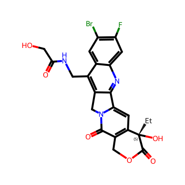 CC[C@@]1(O)C(=O)OCc2c1cc1n(c2=O)Cc2c-1nc1cc(F)c(Br)cc1c2CNC(=O)CO